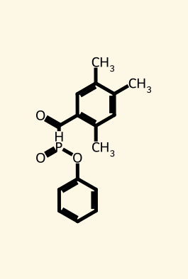 Cc1cc(C)c(C(=O)[PH](=O)Oc2ccccc2)cc1C